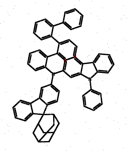 c1ccc(-c2ccccc2-c2ccccc2-c2ccccc2N(c2ccc3c(c2)-c2ccccc2C32C3CC4CC(C3)CC2C4)c2ccc3c4ccccc4n(-c4ccccc4)c3c2)cc1